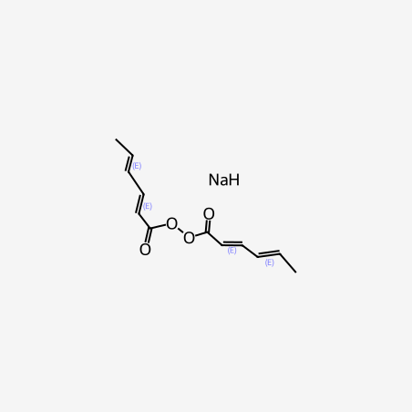 C/C=C/C=C/C(=O)OOC(=O)/C=C/C=C/C.[NaH]